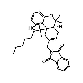 CCCCCCC(C)(C)[C@]12CC(CN3C(=O)c4ccccc4C3=O)=CC[C@@H]1C(C)(C)Oc1cccc(O)c12